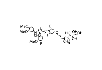 COc1cc(-n2c(N(C)c3ccc(OC)c(OC)c3)cnc2SCc2c(F)cc(OCCCN(C)CC(O)C(O)C(O)[C@H](O)CO)cc2F)ccc1F